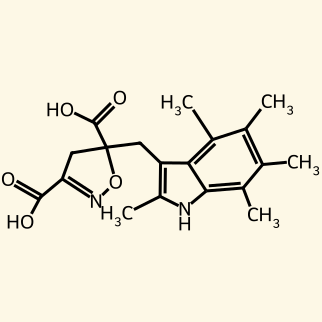 Cc1[nH]c2c(C)c(C)c(C)c(C)c2c1CC1(C(=O)O)CC(C(=O)O)=NO1